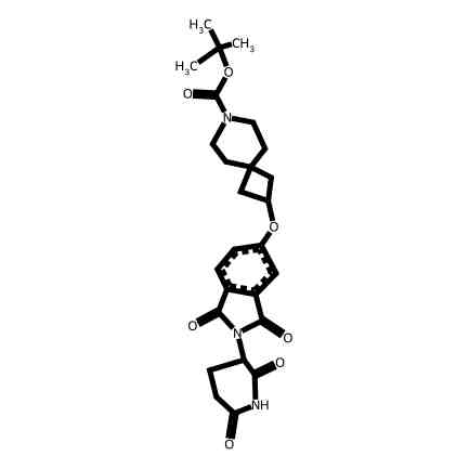 CC(C)(C)OC(=O)N1CCC2(CC1)CC(Oc1ccc3c(c1)C(=O)N(C1CCC(=O)NC1=O)C3=O)C2